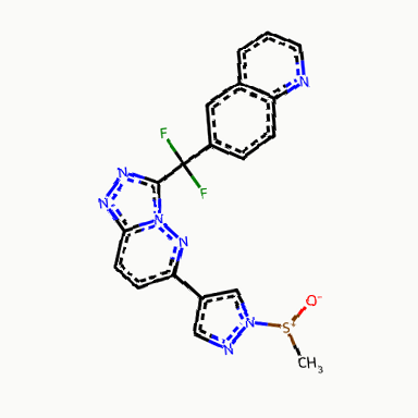 C[S+]([O-])n1cc(-c2ccc3nnc(C(F)(F)c4ccc5ncccc5c4)n3n2)cn1